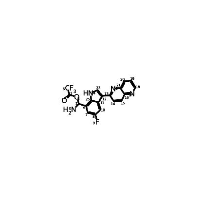 NC(OC(=O)C(F)(F)F)c1cc(F)cc2c(-c3ccc4ncccc4n3)c[nH]c12